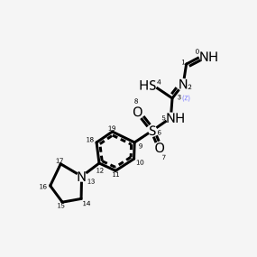 N=C/N=C(\S)NS(=O)(=O)c1ccc(N2CCCC2)cc1